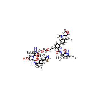 CCN(c1cc(-c2ccc(CCCOCCOCC(=O)N[C@H](C(=O)N3C[C@H](O)C[C@H]3C(=O)N[C@@H](C)c3ccc(-c4scnc4C)cc3)C(C)(C)C)c(C(=O)NCc3c(C)cc(C)[nH]c3=O)c2)ccc1C)C1CCOCC1